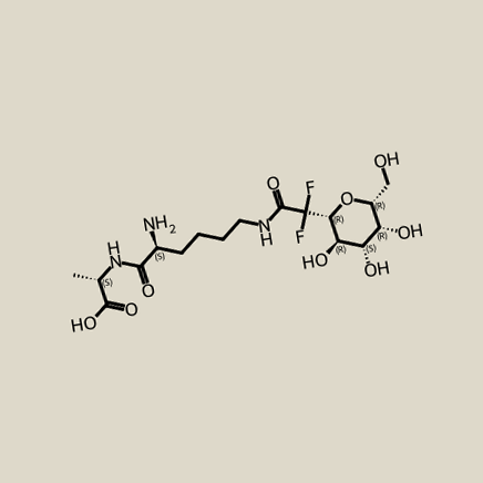 C[C@H](NC(=O)[C@@H](N)CCCCNC(=O)C(F)(F)[C@@H]1O[C@H](CO)[C@H](O)[C@H](O)[C@H]1O)C(=O)O